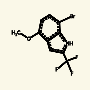 COc1ccc(Br)c2[nH]c(C(F)(F)F)cc12